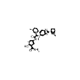 C[C@H]1CC[C@H](c2ccc3sc([C@]45CCC(C4)N(C)C5)nc3c2)N(C(=O)C(=O)Nc2cnc(O)c(C(N)=O)c2)C1